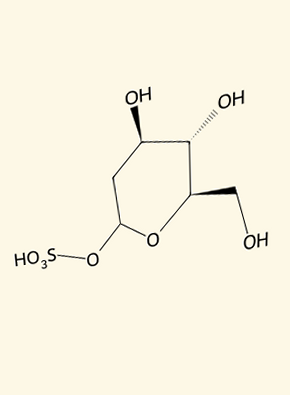 O=S(=O)(O)OC1C[C@@H](O)[C@H](O)[C@@H](CO)O1